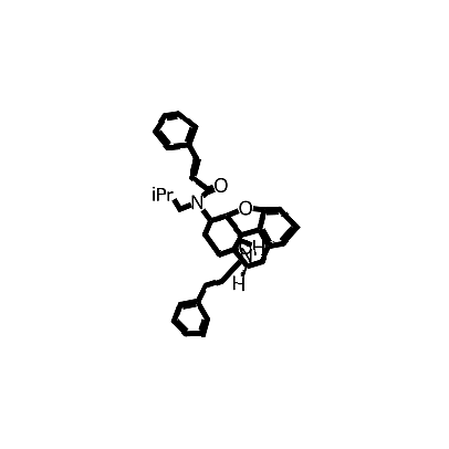 CC(C)CN(C(=O)/C=C/c1ccccc1)C1CC[C@@]2(O)[C@H]3Cc4cccc5c4[C@@]2(CCN3CCc2ccccc2)C1O5